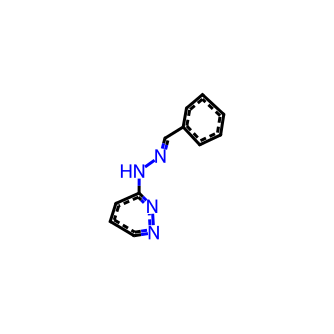 C(=NNc1cccnn1)c1ccccc1